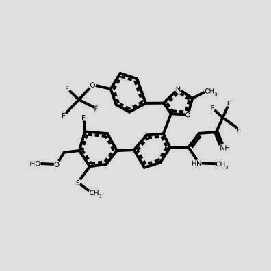 CN/C(=C\C(=N)C(F)(F)F)c1ccc(-c2cc(F)c(COO)c(SC)c2)cc1-c1oc(C)nc1-c1ccc(OC(F)(F)F)cc1